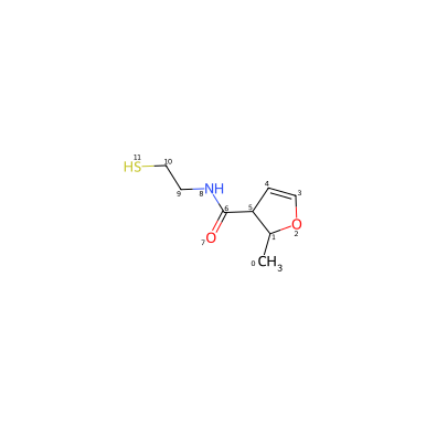 CC1OC=CC1C(=O)NCCS